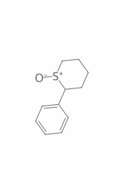 [O-][S+]1CCCCC1c1ccccc1